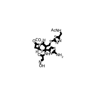 CC(=O)NCc1nnc(SCC2=C(C(=O)O)N3C(=O)C[C@H]3SC2(NC(=O)/C=N/O)c2csc(N)n2)s1